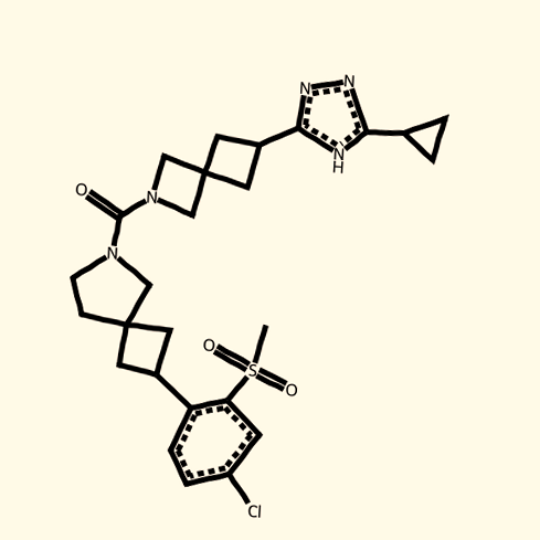 CS(=O)(=O)c1cc(Cl)ccc1C1CC2(CCN(C(=O)N3CC4(CC(c5nnc(C6CC6)[nH]5)C4)C3)C2)C1